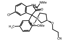 CNC(=O)[C@@H]1C[C@@H](OCCC#N)C[N+]1(C)C1(c2cc(C)ccc2OC)C(=O)Nc2ccc(Cl)cc21